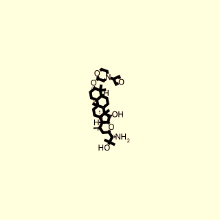 C[C@@H]1CC([C@H](N)C(C)(C)O)OC2[C@H]1[C@@]1(C)CCC34C[C@@]35CC[C@H](OC3CN(C6COC6)CCO3)C(C)(C)[C@@H]5CCC4C1(C)[C@H]2O